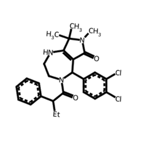 CCC(C(=O)N1CCNC2=C(C(=O)N(C)C2(C)C)C1c1ccc(Cl)c(Cl)c1)c1ccccc1